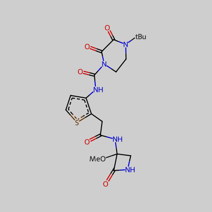 COC1(NC(=O)Cc2sccc2NC(=O)N2CCN(C(C)(C)C)C(=O)C2=O)CNC1=O